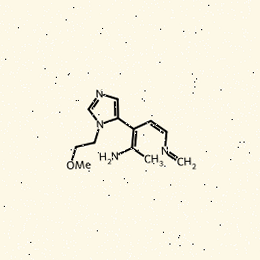 C=N/C=C\C(=C(/C)N)c1cncn1CCOC